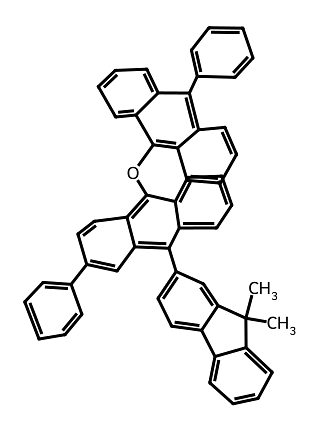 CC1(C)c2ccccc2-c2ccc(-c3c4ccccc4c(Oc4c5ccccc5c(-c5ccccc5)c5ccccc45)c4ccc(-c5ccccc5)cc34)cc21